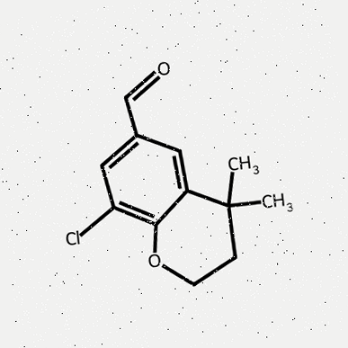 CC1(C)CCOc2c(Cl)cc(C=O)cc21